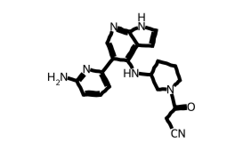 N#CCC(=O)N1CCCC(Nc2c(-c3cccc(N)n3)cnc3[nH]ccc23)C1